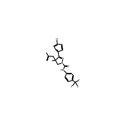 C=C(C)CC1(C)CN(C(=O)Nc2ccc(C(F)(F)F)cc2)N=C1c1ccc(Cl)cc1